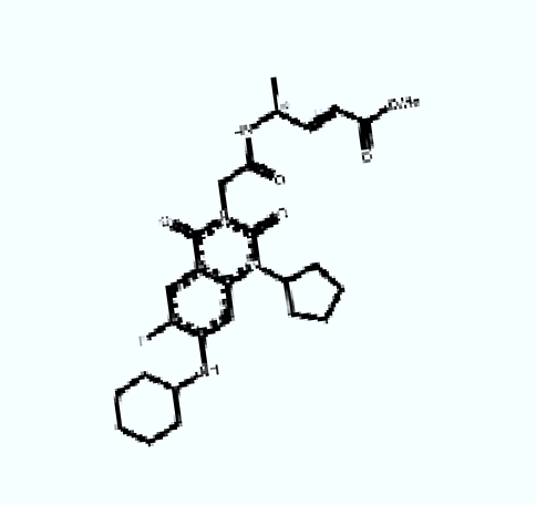 COC(=O)/C=C/[C@H](C)NC(=O)Cn1c(=O)c2cc(F)c(NC3CCCCC3)cc2n(C2CCCC2)c1=O